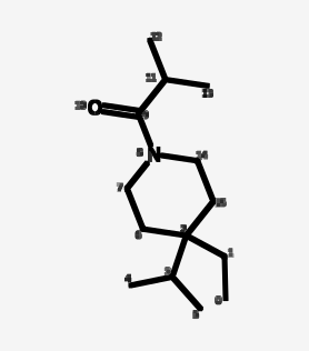 CCC1(C(C)C)CCN(C(=O)C(C)C)CC1